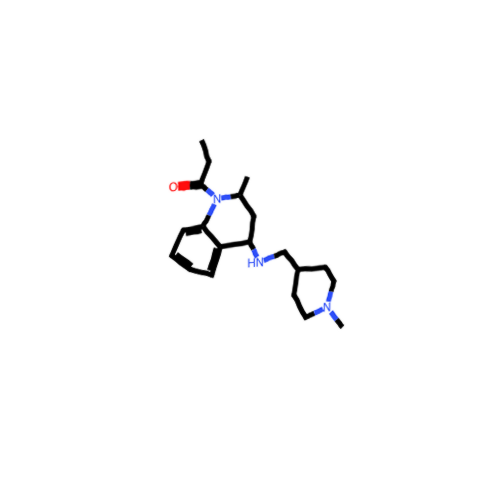 CCC(=O)N1c2ccccc2C(NCC2CCN(C)CC2)CC1C